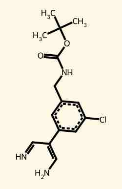 CC(C)(C)OC(=O)NCc1cc(Cl)cc(/C(C=N)=C/N)c1